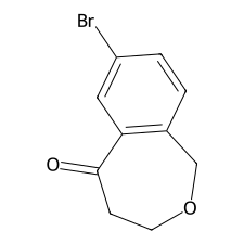 O=C1CCOCc2ccc(Br)cc21